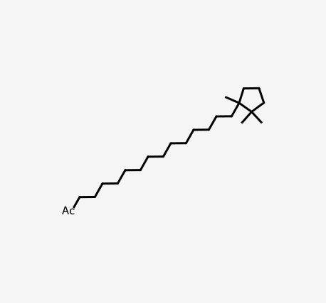 CC(=O)CCCCCCCCCCCCCCC1(C)CCCC1(C)C